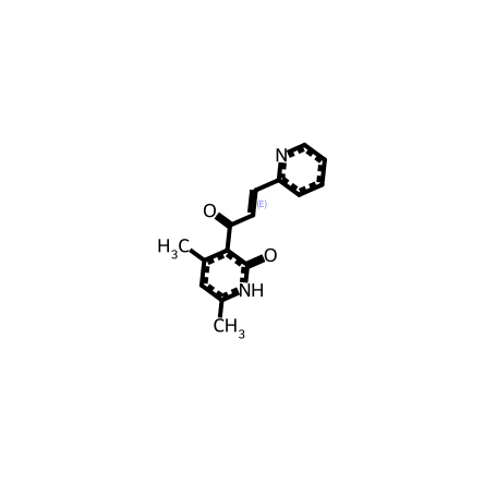 Cc1cc(C)c(C(=O)/C=C/c2ccccn2)c(=O)[nH]1